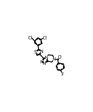 O=C(c1ccc(F)cc1)N1CCn2c(nnc2-c2csc(-c3cc(Cl)cc(Cl)c3)n2)C1